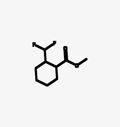 COC(=O)C1CCCCC1C(F)F